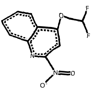 O=[N+]([O-])c1cc(OC(F)F)c2ccccc2n1